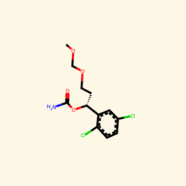 COCOCC[C@@H](OC(N)=O)c1cc(Cl)ccc1Cl